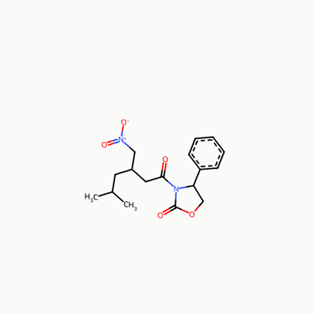 CC(C)CC(CC(=O)N1C(=O)OCC1c1ccccc1)C[N+](=O)[O-]